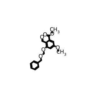 COC(=O)c1cc(OC)cc(OCOCc2ccccc2)c1C=O